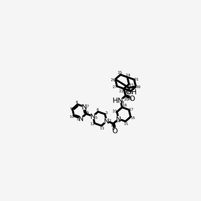 O=C(N1CCN(c2ncccn2)CC1)N1CCCC(NC(=O)C23CC4CC(C2)C(O)C(C4)C3)C1